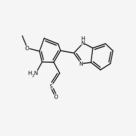 COc1ccc(-c2nc3ccccc3[nH]2)c(C=S=O)c1N